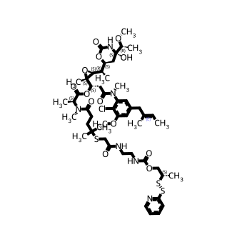 C/C=C(\C)Cc1cc(OC)c(Cl)c(N(C)C(=O)C[C@H](OC(=O)[C@H](C)N(C)C(=O)CCC(C)(C)SCC(=O)NCCNC(=O)OC[C@H](C)SSc2ccccn2)[C@]2(C)O[C@H]2[C@H](C)[C@@H]2C[C@](O)([C@@H](C)OC)NC(=O)O2)c1